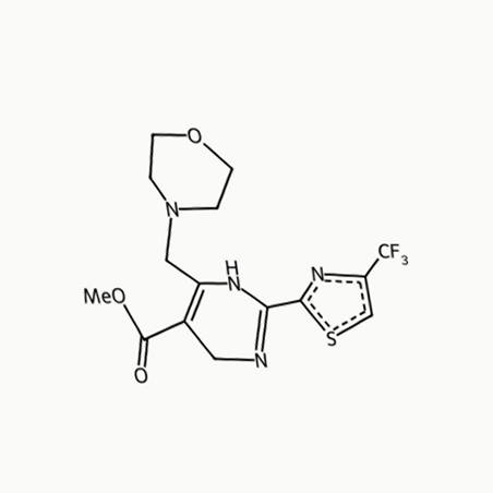 COC(=O)C1=C(CN2CCOCC2)NC(c2nc(C(F)(F)F)cs2)=NC1